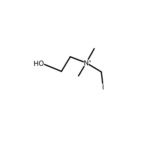 C[N+](C)(CI)CCO